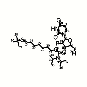 [2H]CC1OC(n2ccc(=O)[nH]c2=O)C(F)C1OP(OCCCCCCSSC(C)(C)C)N(C(C)C)C(C)C